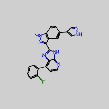 Fc1ccccc1-c1ccnc2[nH]c(-c3n[nH]c4ccc(-c5cn[nH]c5)cc34)nc12